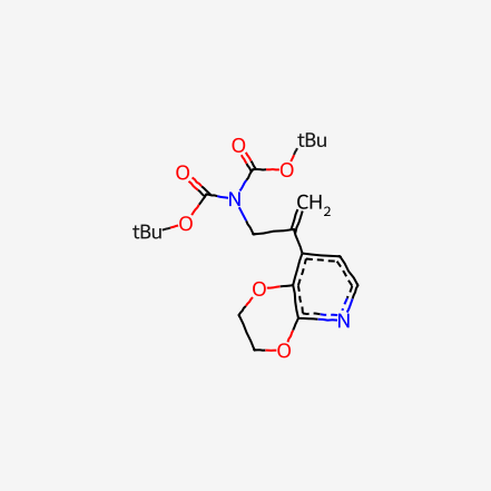 C=C(CN(C(=O)OC(C)(C)C)C(=O)OC(C)(C)C)c1ccnc2c1OCCO2